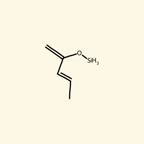 C=C(C=CC)O[SiH3]